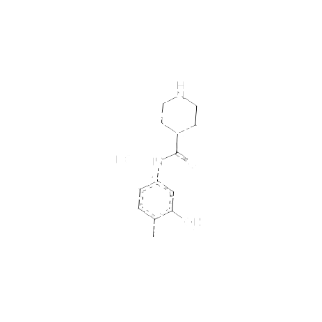 Cc1ccc(NC(=O)C2CCNCC2)cc1O.Cl